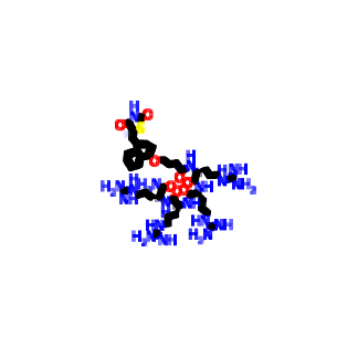 N=C(N)NCCC[C@H](NC(=O)[C@H](CCCNC(=N)N)NC(=O)[C@H](CCCNC(=N)N)NC(=O)[C@H](CCCNC(=N)N)NC(=O)CCCOc1ccc(/C=C2\SC(=O)NC2=O)c2ccccc12)C(N)=O